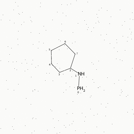 PNC1CCCCC1